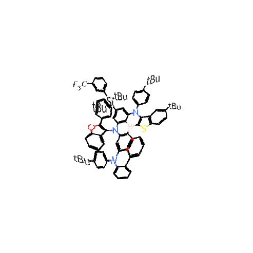 CC(C)(C)c1ccc(N(c2ccc3c(c2)N(c2c(-c4ccccc4)oc4ccccc24)c2cc([Si](c4cccc(C(F)(F)F)c4)(C(C)(C)C)C(C)(C)C)cc4c2B3c2sc3ccc(C(C)(C)C)cc3c2N4c2ccc(C(C)(C)C)cc2)c2ccccc2-c2ccccc2)cc1